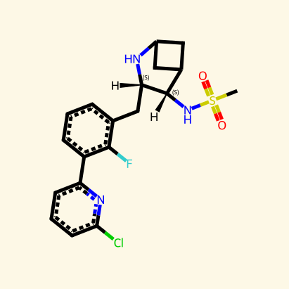 CS(=O)(=O)N[C@H]1C2CC(C2)N[C@H]1Cc1cccc(-c2cccc(Cl)n2)c1F